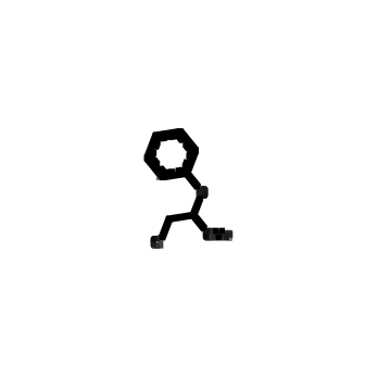 COC(CCl)Oc1[c]cccc1